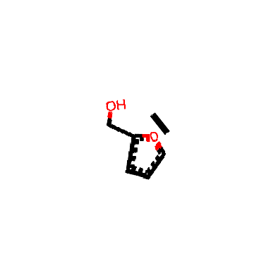 C=C.OCc1ccco1